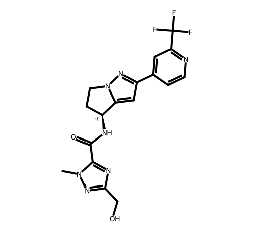 Cn1nc(CO)nc1C(=O)N[C@H]1CCn2nc(-c3ccnc(C(F)(F)F)c3)cc21